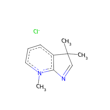 C[n+]1cccc2c1N=CC2(C)C.[Cl-]